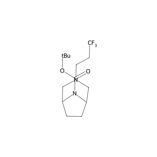 CC(C)(C)OC(=O)N1C2CCC1CN(CCC(F)(F)F)C2